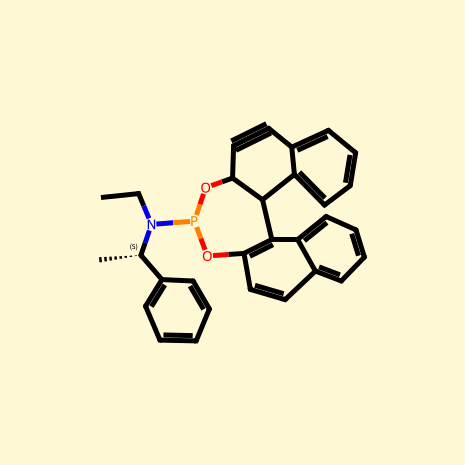 CCN([C@@H](C)c1ccccc1)P1Oc2ccc3ccccc3c2C2c3ccccc3C#CC2O1